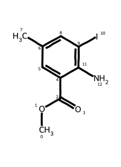 COC(=O)c1cc(C)cc(I)c1N